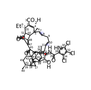 CC[C@@H]1C(C(=O)O)=C[C@]2(C)/C=C/C/C=C/C[C@@H]3C=C[C@]45C[C@]4(OC4CC(O)C(NC(=O)c6[nH]c(Cl)c(Cl)c6Cl)C(C)O4)[C@@H](C)CC[C@H]5C3C(=O)C3=C(O)C2C1C3=O